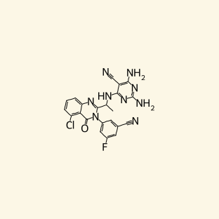 CC(Nc1nc(N)nc(N)c1C#N)c1nc2cccc(Cl)c2c(=O)n1-c1cc(F)cc(C#N)c1